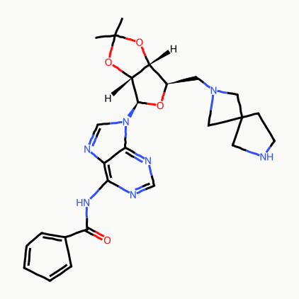 CC1(C)O[C@@H]2[C@H](O1)[C@@H](CN1CC3(CCNC3)C1)O[C@H]2n1cnc2c(NC(=O)c3ccccc3)ncnc21